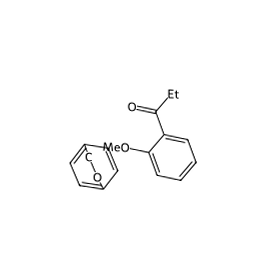 CCC(=O)c1ccccc1OC.c1cc2ccc1CO2